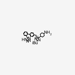 CCC(C)c1nc(C2CCC(N)CC2)n(Cc2ccc(-c3ccccc3-c3nnn[nH]3)cc2)n1